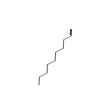 CCCCCCCCC=O.[SnH2]